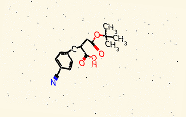 CC(C)(C)OC(=O)CC(Cc1ccc(C#N)cc1)C(=O)O